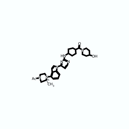 CC(=O)N1CCN(c2cccc3c2ccn3-c2ccnc(NC3CCC(C(=O)N4CCC(O)CC4)CC3)n2)[C@H](C)C1